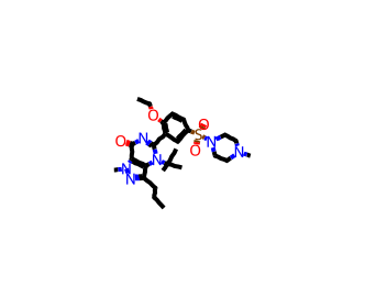 CCCc1nn(C)c2c(=O)nc(-c3cc(S(=O)(=O)N4CCN(C)CC4)ccc3OCC)n(C(C)(C)C)c12